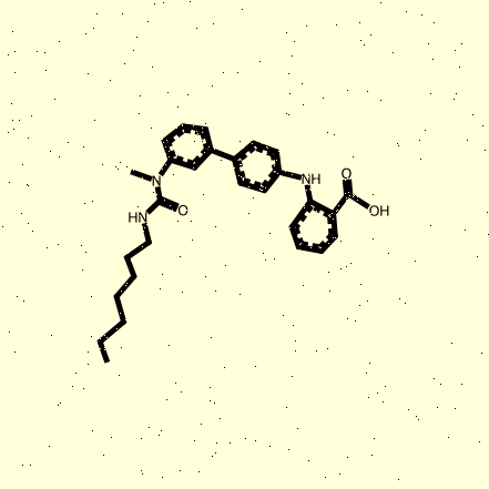 CCCCCCCNC(=O)N(C)c1cccc(-c2ccc(Nc3ccccc3C(=O)O)cc2)c1